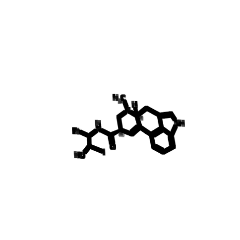 CCC(NC(=O)[C@@H]1C=C2c3cccc4[nH]cc(c34)C[C@H]2N(C)C1)C(O)I